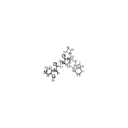 CC[C@]1(c2ccccc2)CC[C@]2(CC1)CN(CCC(=O)N(I)c1ccncc1OC)C(=O)N2CC1CCC1